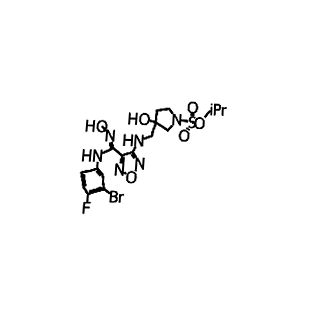 CC(C)OS(=O)(=O)N1CCC(O)(CNc2nonc2/C(=N/O)Nc2ccc(F)c(Br)c2)C1